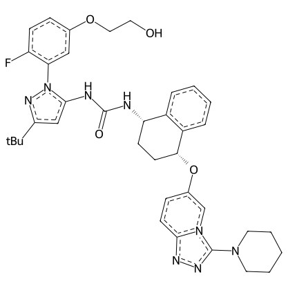 CC(C)(C)c1cc(NC(=O)N[C@H]2CC[C@@H](Oc3ccc4nnc(N5CCCCC5)n4c3)c3ccccc32)n(-c2cc(OCCO)ccc2F)n1